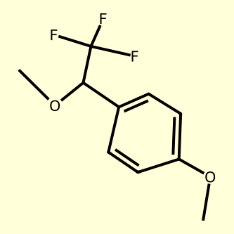 COc1ccc(C(OC)C(F)(F)F)cc1